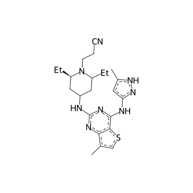 CCC1CC(Nc2nc(Nc3cc(C)[nH]n3)c3scc(C)c3n2)C[C@@H](CC)N1CCC#N